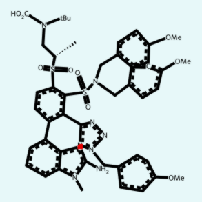 COc1ccc(CN(Cc2ccc(OC)cc2)S(=O)(=O)c2c(S(=O)(=O)[C@@H](C)CN(C(=O)O)C(C)(C)C)ccc(-c3cccc4c3nc(N)n4C)c2-c2nnn(Cc3ccc(OC)cc3)n2)cc1